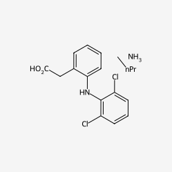 CCCC.N.O=C(O)Cc1ccccc1Nc1c(Cl)cccc1Cl